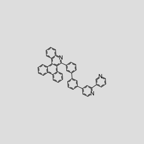 c1cc(-c2cccc(-c3nc4ccccc4c4c5ccccc5c5ccccc5c34)c2)cc(-c2ccnc(-c3cccnc3)c2)c1